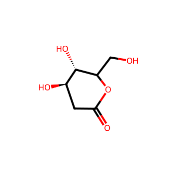 O=C1C[C@@H](O)[C@H](O)C(CO)O1